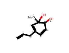 C=CCC1=CC(O)(OC)C(O)C=C1